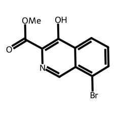 COC(=O)c1ncc2c(Br)cccc2c1O